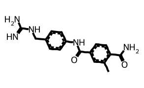 Cc1cc(C(=O)Nc2ccc(CNC(=N)N)cc2)ccc1C(N)=O